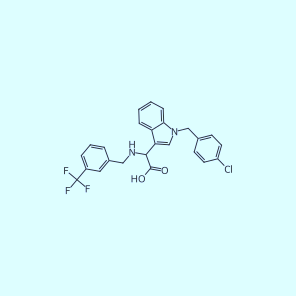 O=C(O)C(NCc1cccc(C(F)(F)F)c1)c1cn(Cc2ccc(Cl)cc2)c2ccccc12